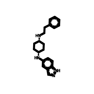 c1ccc(CCN[C@H]2CC[C@@H](Nc3ccc4[nH]ncc4c3)CC2)cc1